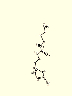 O=C(NCCCO)OCCc1ncc(Br)s1